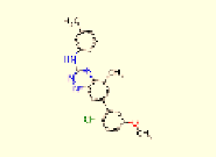 COc1ccc(Cl)c(-c2cc(C)c3nc(Nc4cccc(C)c4)nnc3c2)c1